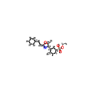 CCOS(=O)(=O)c1ccc(C)c(-c2nc(C=Cc3ccccc3)oc2C)c1